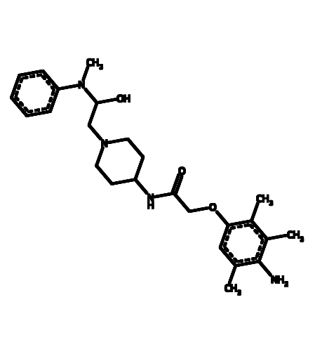 Cc1cc(OCC(=O)NC2CCN(CC(O)N(C)c3ccccc3)CC2)c(C)c(C)c1N